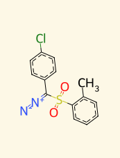 Cc1ccccc1S(=O)(=O)C(=[N+]=[N-])c1ccc(Cl)cc1